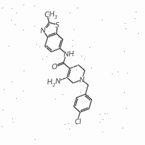 Cc1nc2ccc(NC(=O)C3=C(N)CN(Cc4ccc(Cl)cc4)CC3)cc2s1